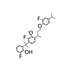 COc1c(C(C)CCOc2ccc(C(C)C)cc2F)ccc(C(C)(C)c2cccc(F)c2O)c1F